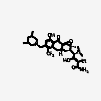 CC/C(C(N)=O)=C(/O)[C@H]([C@@H]1C[C@@H]2Cc3c(c(O)cc(CN4CC(C)CC(C)C4)c3C(F)(F)F)C(=O)C2=C2O[C@]21C)N(C)C